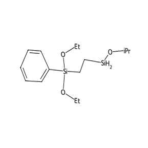 CCO[Si](CC[SiH2]OC(C)C)(OCC)c1ccccc1